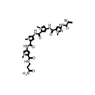 C=C(Br)C(=O)Nc1cc(C(=O)Nc2cc(C(=O)Nc3cc(C(=O)Nc4cc(C(=O)NCCC(N)=O)n(C)c4)n(C)c3)n(C)c2)n(C)n1